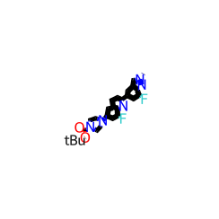 Cn1cc2cc(-c3ccc4cc(N5CCN(C(=O)OC(C)(C)C)CC5)cc(F)c4n3)cc(F)c2n1